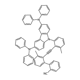 Cc1cccc(-c2ccccc2C#N)c1C#Cc1c(C)cccc1-n1c2ccc(N(c3ccccc3)c3ccccc3)cc2c2cc(N(c3ccccc3)c3ccccc3)ccc21